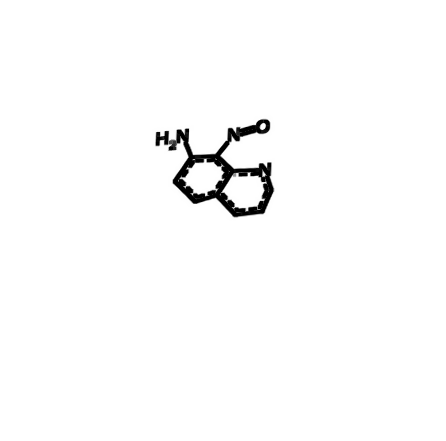 Nc1ccc2cccnc2c1N=O